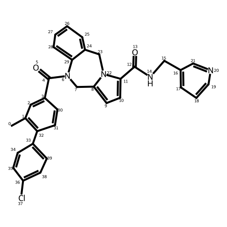 Cc1cc(C(=O)N2Cc3ccc(C(=O)NCc4cccnc4)n3Cc3ccccc32)ccc1-c1ccc(Cl)cc1